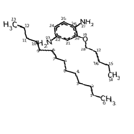 CCCCCCCCCCCCCC.CCCCCOc1cc(N)ccc1N